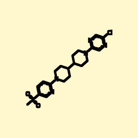 CS(=O)(=O)c1ccc(N2CCC(C3CCN(c4cnc(Cl)cn4)CC3)CC2)nc1